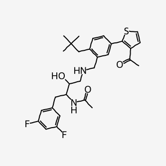 CC(=O)NC(Cc1cc(F)cc(F)c1)C(O)CNCc1cc(-c2sccc2C(C)=O)ccc1CC(C)(C)C